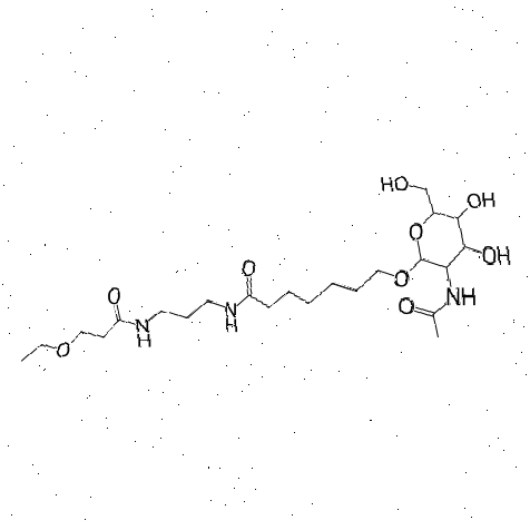 CCOCCC(=O)NCCCNC(=O)CCCCCCOC1OC(CO)C(O)C(O)C1NC(C)=O